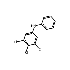 Clc1cc(Nc2ccccc2)cc(Cl)c1Cl